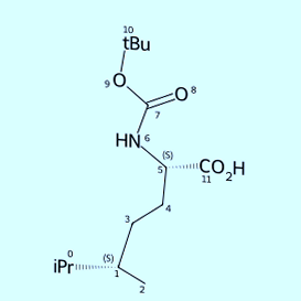 CC(C)[C@@H](C)CC[C@H](NC(=O)OC(C)(C)C)C(=O)O